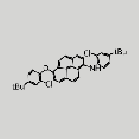 CC(C)(C)c1ccc(Nc2ccc3ccc4c(Oc5ccc(C(C)(C)C)cc5Cl)ccc5ccc2c3c54)c(Cl)c1